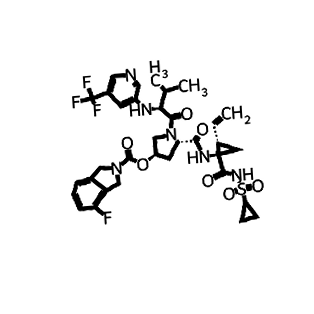 C=C[C@@H]1C[C@]1(NC(=O)[C@@H]1C[C@@H](OC(=O)N2Cc3cccc(F)c3C2)CN1C(=O)[C@@H](Nc1cncc(C(F)(F)F)c1)C(C)C)C(=O)NS(=O)(=O)C1CC1